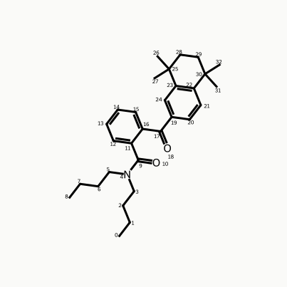 CCCCN(CCCC)C(=O)c1ccccc1C(=O)c1ccc2c(c1)C(C)(C)CCC2(C)C